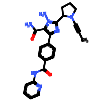 CC#CN1CCCC1c1nc(-c2ccc(C(=O)Nc3ccccn3)cc2)c(C(N)=O)n1N